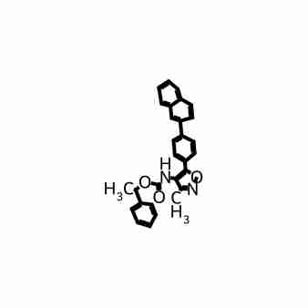 Cc1noc(-c2ccc(-c3ccc4ccccc4c3)cc2)c1NC(=O)OC(C)c1ccccc1